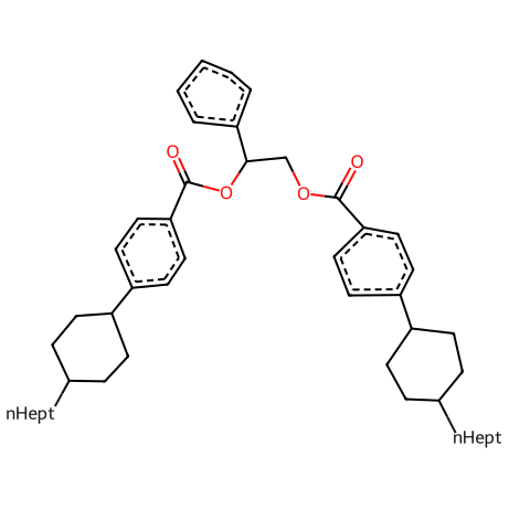 CCCCCCCC1CCC(c2ccc(C(=O)OCC(OC(=O)c3ccc(C4CCC(CCCCCCC)CC4)cc3)c3ccccc3)cc2)CC1